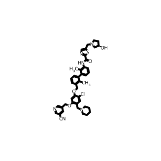 Cc1c(COc2cc(OCc3cncc(C#N)c3)c(CN3CCCCC3)cc2Cl)cccc1-c1cccc(NC(=O)c2ncc(CN3CC[C@@H](O)C3)s2)c1C